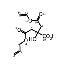 C=CCOC(=O)CC(O)(CC(=O)OC=C)C(=O)O